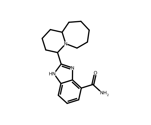 NC(=O)c1cccc2[nH]c(C3CCCC4CCCCCN43)nc12